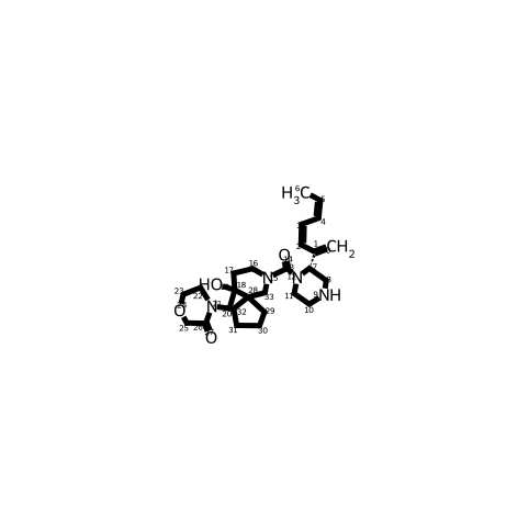 C=C(/C=C\C=C/C)[C@@H]1CNCCN1C(=O)N1CCC(O)(CN2CCOCC2=O)C2(CCCC2)C1